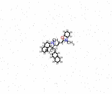 CN1/C(=C/C=C/C2=[N+](C)c3ccc4ccccc4c3C2(C)Cc2ccc3ccccc3c2)Oc2ccccc21